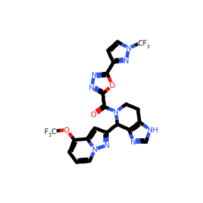 O=C(c1nnc(-c2ccn(C(F)(F)F)n2)o1)N1CCc2[nH]cnc2C1c1cc2c(OC(F)(F)F)cccn2n1